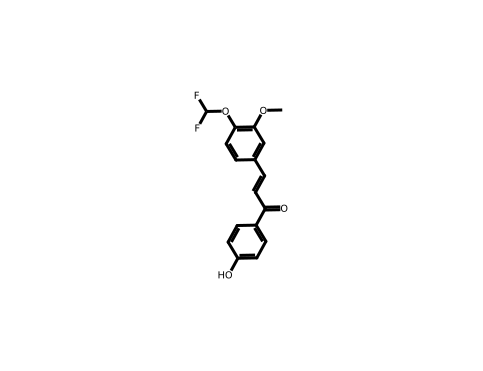 COc1cc(C=CC(=O)c2ccc(O)cc2)ccc1OC(F)F